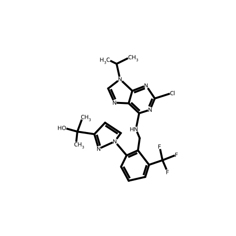 CC(C)n1cnc2c(NCc3c(-n4ccc(C(C)(C)O)n4)cccc3C(F)(F)F)nc(Cl)nc21